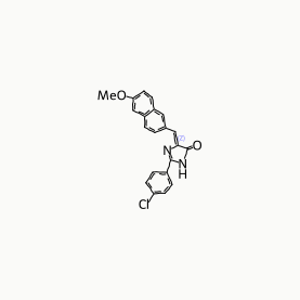 COc1ccc2cc(/C=C3\N=C(c4ccc(Cl)cc4)NC3=O)ccc2c1